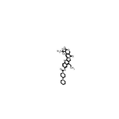 CCc1c2c(nc3ccc(OC(=O)N4CCC(N5CCCCC5)CC4)cc13)-c1cc3c(c(=O)n1C2)COC(=O)C3C(C)(C)C